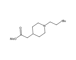 COC(=O)CC1CCN(CCC(C)(C)C)CC1